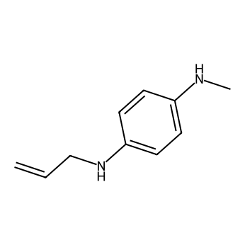 C=CCNc1ccc(NC)cc1